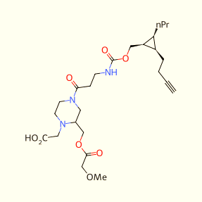 C#CCC[C@@H]1[C@H](CCC)[C@@H]1COC(=O)NCCC(=O)N1CCN(CC(=O)O)C(COC(=O)COC)C1